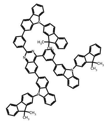 CC1(C)c2ccccc2-c2ccc(-n3c4ccccc4c4ccc(-c5cccc(-c6nc(-c7cccc(-c8ccc9c%10ccccc%10n(-c%10ccc%11c(c%10)C(C)(C)c%10ccccc%10-%11)c9c8)c7)c7cc(-c8ccc9c%10ccccc%10n(-c%10ccc%11c(c%10)C(C)(C)c%10ccccc%10-%11)c9c8)ccc7n6)c5)cc43)cc21